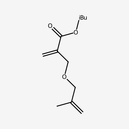 C=C(C)COCC(=C)C(=O)OC(C)CC